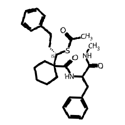 CNC(=O)C(Cc1ccccc1)NC(=O)C1([C@H](CCc2ccccc2)SC(C)=O)CCCCC1